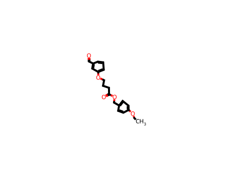 CCOc1ccc(COC(=O)CCCOc2cccc(C=O)c2)cc1